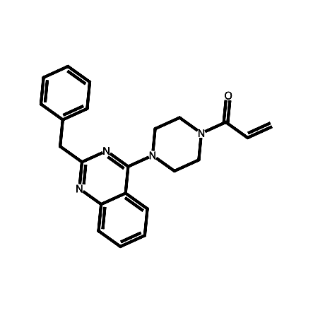 C=CC(=O)N1CCN(c2nc(Cc3ccccc3)nc3ccccc23)CC1